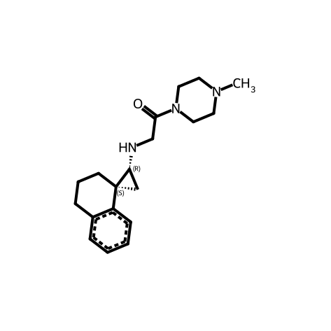 CN1CCN(C(=O)CN[C@@H]2C[C@]23CCCc2ccccc23)CC1